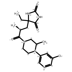 CCC1(C[C@H](C)C(=O)N2CCN(c3cncc(Cl)c3)C(C)C2)NC(=O)NC1=O